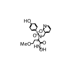 COCC[C@H](C(=O)NO)N(Cc1cccnc1)S(=O)(=O)c1ccc(O)cc1